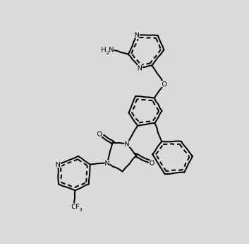 Nc1nccc(Oc2ccc(N3C(=O)CN(c4cncc(C(F)(F)F)c4)C3=O)c(-c3ccccc3)c2)n1